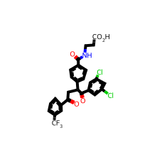 O=C(O)CCNC(=O)c1ccc(C(CC(=O)c2cccc(C(F)(F)F)c2)C(=O)c2cc(Cl)cc(Cl)c2)cc1